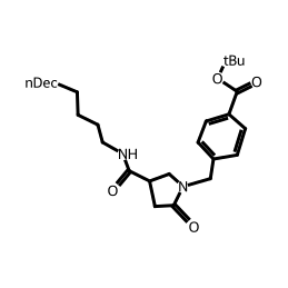 CCCCCCCCCCCCCCNC(=O)C1CC(=O)N(Cc2ccc(C(=O)OC(C)(C)C)cc2)C1